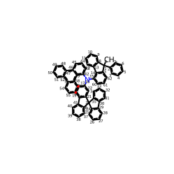 CC1(c2ccccc2)c2ccccc2-c2c(N(c3ccc4c(c3)C3(c5ccccc5-c5ccccc53)c3ccccc3-4)c3cccc4c5ccccc5c5ccccc5c34)cccc21